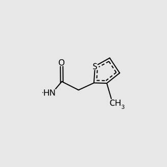 Cc1ccsc1CC([NH])=O